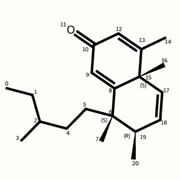 CCC(C)CC[C@]1(C)C2=CC(=O)C=C(C)[C@]2(C)C=C[C@H]1C